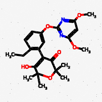 CCc1ccc(Oc2nc(OC)cc(OC)n2)cc1C1=C(O)C(C)(C)OC(C)(C)C1=O